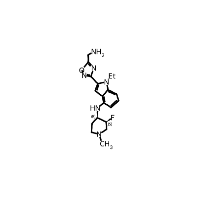 CCn1c(-c2noc(CN)n2)cc2c(N[C@@H]3CCN(C)C[C@@H]3F)cccc21